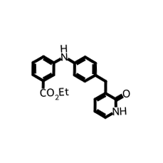 CCOC(=O)c1cccc(Nc2ccc(Cc3ccc[nH]c3=O)cc2)c1